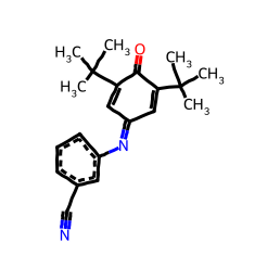 CC(C)(C)C1=CC(=Nc2cccc(C#N)c2)C=C(C(C)(C)C)C1=O